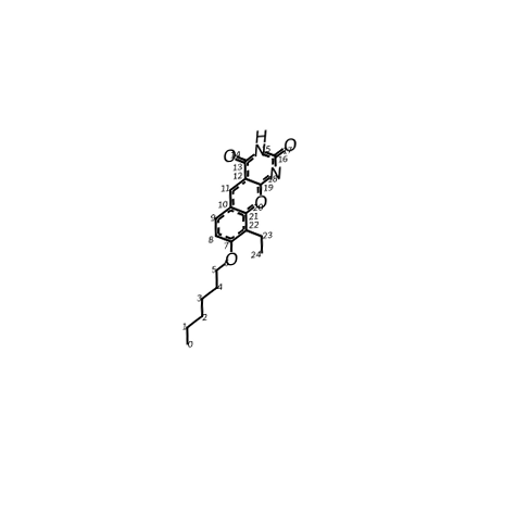 CCCCCCOc1ccc2cc3c(=O)[nH]c(=O)nc-3oc2c1CC